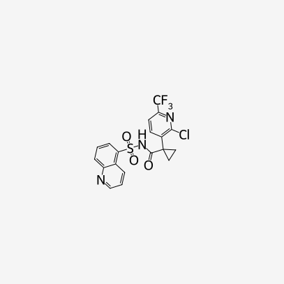 O=C(NS(=O)(=O)c1cccc2ncccc12)C1(c2ccc(C(F)(F)F)nc2Cl)CC1